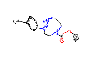 CC(C)(C)OC(=O)N1CCNN(c2ccc([N+](=O)[O-])cc2)CC1